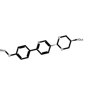 CCCCCCCCCOc1ccc(-c2ccc([C@H]3OC[C@H](CCCCCCCC)CO3)cn2)cc1